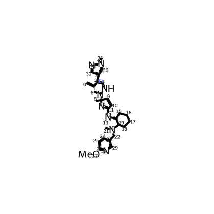 C=C/C(=C\NN(C)C1(C)C=CC(N(C)C2CCCCC2N(C)Cc2ccc(OC)nc2)=N1)c1cnn(C)c1